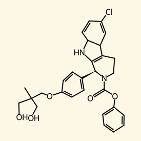 CC(CO)(CO)COc1ccc([C@H]2C3=C(CCN2C(=O)Oc2ccccc2)C2C=C(Cl)C=CC2N3)cc1